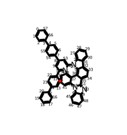 c1ccc(-c2ccc(-c3cc(-c4ccc(-c5ccccc5)cc4)nc(-n4c5ccccc5c5ccc6c(c7ccccc7n7c8ccccc8nc67)c54)c3)cc2)cc1